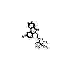 CC(C)(C)C(=O)NCCC(Nc1ccccc1)c1ccc(Br)cc1